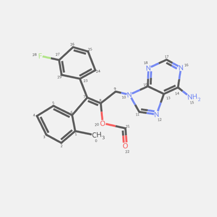 Cc1ccccc1/C(=C(/Cn1cnc2c(N)ncnc21)OC=O)c1cccc(F)c1